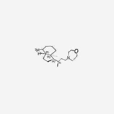 [2H]C1CCC[C@]2(C)[C@@H]1CC[C@@H]2[C@H](C)CCN1CCOCC1